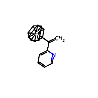 C=C(c1ccccn1)[C]12[CH]3[CH]4[CH]5[CH]1[Fe]45321678[CH]2[CH]1[CH]6[CH]7[CH]28